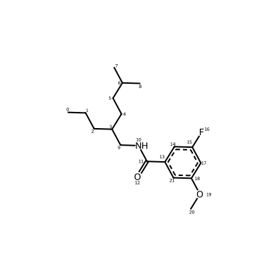 CCCC(CCC(C)C)CNC(=O)c1cc(F)cc(OC)c1